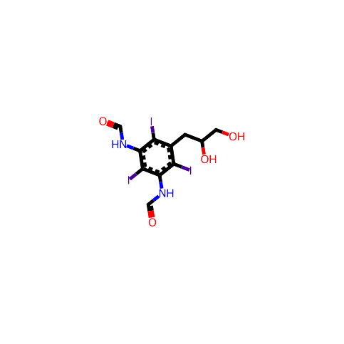 O=CNc1c(I)c(CC(O)CO)c(I)c(NC=O)c1I